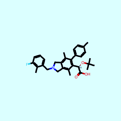 Cc1ccc(-c2c(C)c3c(c(C)c2[C@H](OC(C)(C)C)C(=O)O)CN(Cc2cccc(F)c2C)C3)cc1